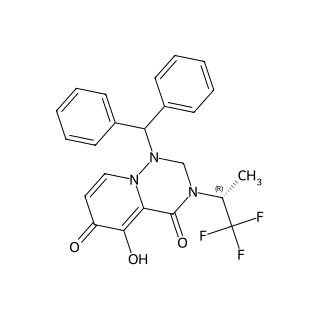 C[C@@H](N1CN(C(c2ccccc2)c2ccccc2)n2ccc(=O)c(O)c2C1=O)C(F)(F)F